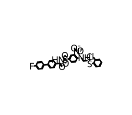 O=C(NS(=O)(=O)c1ccc(NCCSc2ccccc2Cl)c([N+](=O)[O-])c1)c1ccc(-c2ccc(F)cc2)cc1